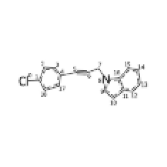 Clc1ccc(C#CCn2ccc3ccccc32)cc1